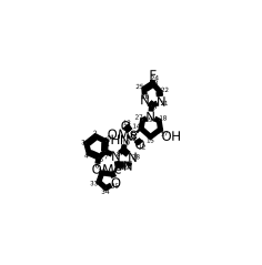 COc1cccc(OC)c1-n1c(NS(=O)(=O)[C@@H]2C[C@H](O)CN(c3ncc(F)cn3)C2)nnc1[C@@H]1CCCO1